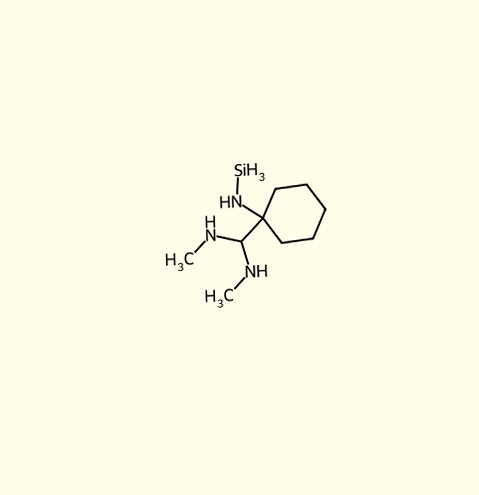 CNC(NC)C1(N[SiH3])CCCCC1